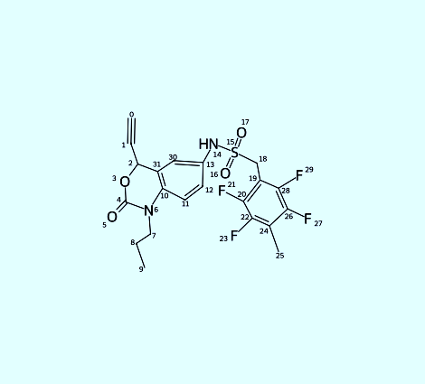 C#CC1OC(=O)N(CCC)c2ccc(NS(=O)(=O)Cc3c(F)c(F)c(C)c(F)c3F)cc21